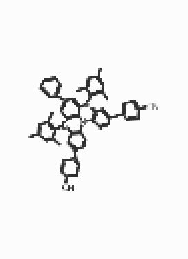 Cc1cc(C)c(B2c3cc(-c4ccc(C#N)cc4)ccc3N3c4ccc(-c5ccc(C#N)cc5)cc4B(c4c(C)cc(C)cc4C)c4cc(-c5ccccc5)cc2c43)c(C)c1